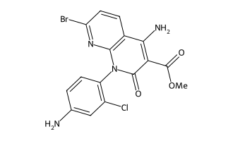 COC(=O)c1c(N)c2ccc(Br)nc2n(-c2ccc(N)cc2Cl)c1=O